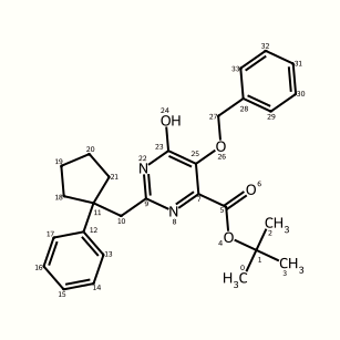 CC(C)(C)OC(=O)c1nc(CC2(c3ccccc3)CCCC2)nc(O)c1OCc1ccccc1